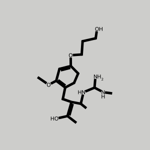 CNC(N)NC(C)/C(CC1=C(OC)C=C(OCCCO)CC1)=C(\C)O